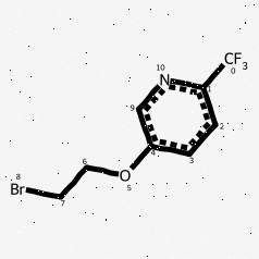 FC(F)(F)c1ccc(OCCBr)cn1